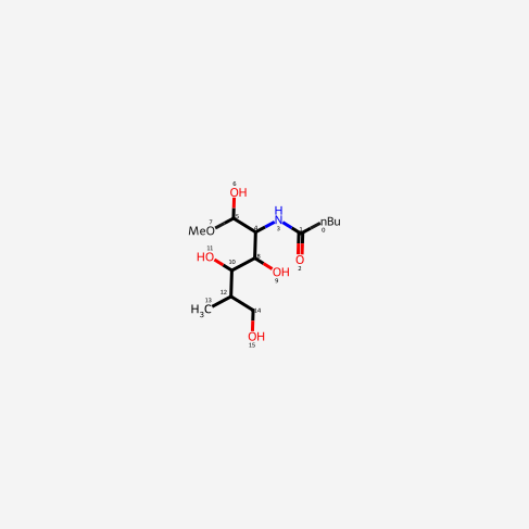 CCCCC(=O)NC(C(O)OC)C(O)C(O)C(C)CO